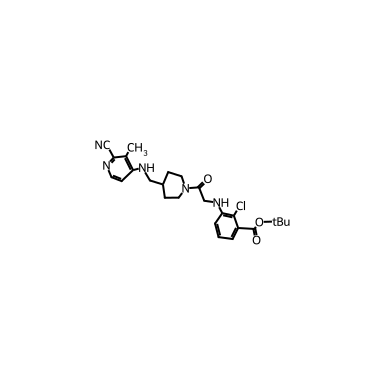 Cc1c(NCC2CCN(C(=O)CNc3cccc(C(=O)OC(C)(C)C)c3Cl)CC2)ccnc1C#N